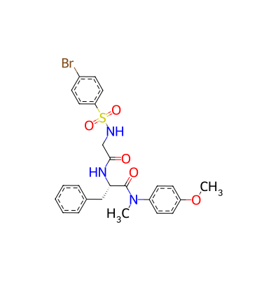 COc1ccc(N(C)C(=O)[C@H](Cc2ccccc2)NC(=O)CNS(=O)(=O)c2ccc(Br)cc2)cc1